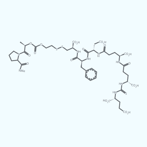 CNC(=O)C1CCCN1C(=O)[C@@H](C)OC(=O)OCCSSC[C@H](NC(=O)[C@H](Cc1ccccc1)NC(=O)[C@H](CC(=O)O)NC(=O)CC[C@H](NC(=O)CC[C@@H](NC(=S)N[C@H](CCC(=O)O)C(=O)O)C(=O)O)C(=O)O)C(=O)O